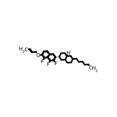 C/C=C/COc1ccc2cc([C@@H]3CC[C@@H]4CC(CCCCCC)CCC4C3)c(F)c(F)c2c1F